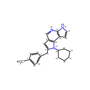 Cc1ccc(Cc2cc3cnc4[nH]ccc4c3n2C2CCCCC2)cc1